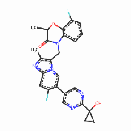 Cc1nc2cc(F)c(-c3cnc(C4(O)CC4)nc3)cn2c1CN1C(=O)[C@@H](C)Oc2c(F)cccc21